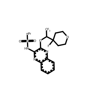 CCCS(=O)(=O)Nc1nc2ccccc2nc1OC(C(F)(F)F)C1(F)CCOCC1